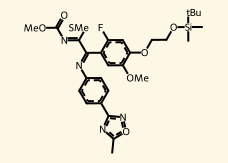 COC(=O)N=C(SC)C(=Nc1ccc(-c2noc(C)n2)cc1)c1cc(OC)c(OCCO[Si](C)(C)C(C)(C)C)cc1F